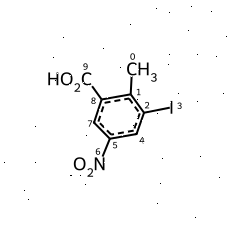 Cc1c(I)cc([N+](=O)[O-])cc1C(=O)O